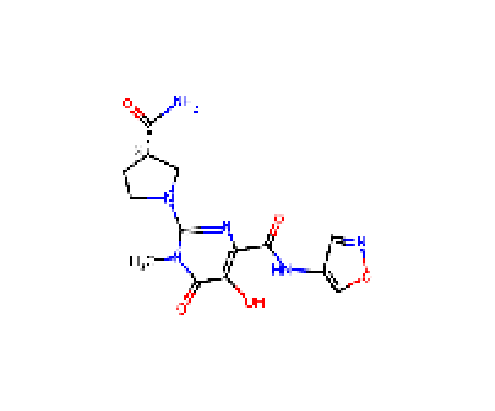 Cn1c(N2CC[C@H](C(N)=O)C2)nc(C(=O)Nc2cnoc2)c(O)c1=O